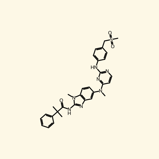 CN(c1ccc2c(c1)nc(NC(=O)C(C)(C)c1ccccc1)n2C)c1ccnc(Nc2ccc(CS(C)(=O)=O)cc2)n1